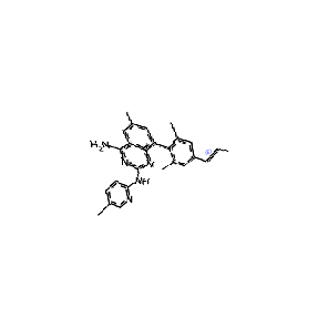 C/C=C/c1cc(C)c(-c2cc(C)cc3c(N)nc(Nc4ccc(C)cn4)nc23)c(C)c1